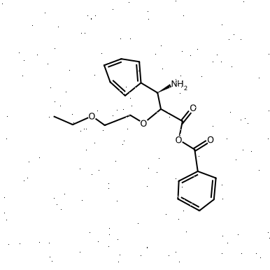 CCOCCOC(C(=O)OC(=O)c1ccccc1)[C@H](N)c1ccccc1